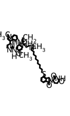 C=CC(=O)Nc1cc(Nc2nccc(-c3cn(C)c4ccccc34)n2)c(OC)cc1N(C)CCN(C)CCCCCCCCCCCSc1cccc2c1CN(C1CCC(=O)NC1=O)C2=O